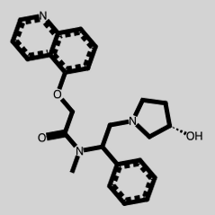 CN(C(=O)COc1cccc2ncccc12)C(CN1CC[C@H](O)C1)c1ccccc1